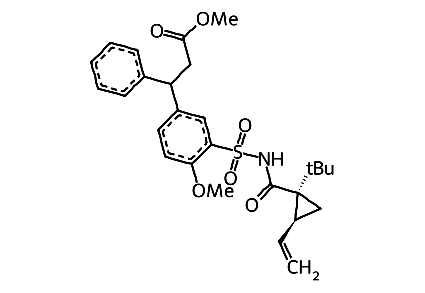 C=C[C@@H]1C[C@@]1(C(=O)NS(=O)(=O)c1cc(C(CC(=O)OC)c2ccccc2)ccc1OC)C(C)(C)C